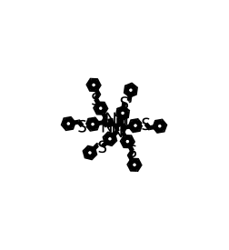 c1ccc(CSc2ccc(C3=C(c4ccc(SCc5ccccc5)cc4)N(c4ccc(SCc5ccccc5)cc4)C(c4nc(-c5ccc(SCc6ccccc6)cc5)c(-c5ccc(SCc6ccccc6)cc5)[nH]4)N3c3ccc(SCc4ccccc4)cc3)cc2)cc1